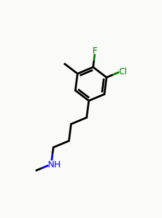 CNCCCCc1cc(C)c(F)c(Cl)c1